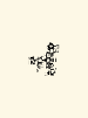 C=CC(O)N1CCN(C2NC(OCC3CCCN3C)NC3C[C@]4(CCC32)CN(C)c2c(Cl)cccc2O4)CC1CNC